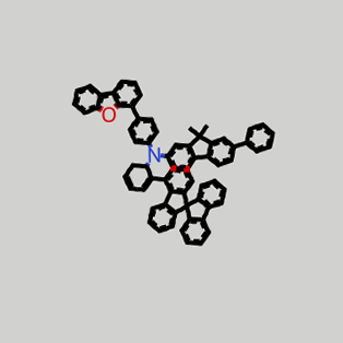 CC1(C)c2cc(-c3ccccc3)ccc2-c2ccc(N(c3ccc(-c4cccc5c4oc4ccccc45)cc3)C3CC=CC=C3c3cccc4c3-c3ccccc3C43c4ccccc4-c4ccccc43)cc21